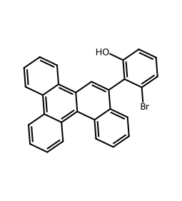 Oc1cccc(Br)c1-c1cc2c3ccccc3c3ccccc3c2c2ccccc12